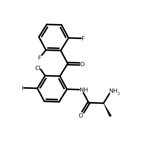 C[C@H](N)C(=O)Nc1ccc(I)c(Cl)c1C(=O)c1c(F)cccc1F